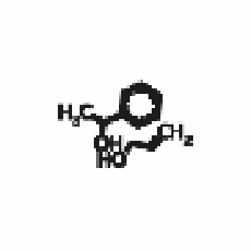 C=CCO.CC(O)c1ccccc1